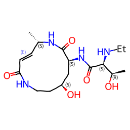 CCN[C@H](C(=O)N[C@H]1C[C@@H](O)CCNC(=O)/C=C/[C@H](C)NC1=O)[C@@H](C)O